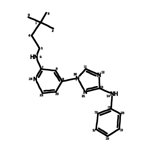 CC(C)(C)CCNc1cc(-n2cnc(Nc3ccccc3)n2)ccn1